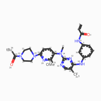 C=CC(=O)Nc1cccc(Nc2nc(N(C)c3ccc(N4CCN(C(=O)C(C)(C)C)CC4)nc3OC)ncc2C(F)(F)F)c1